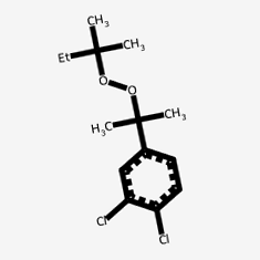 CCC(C)(C)OOC(C)(C)c1ccc(Cl)c(Cl)c1